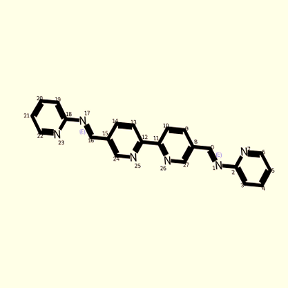 C(=N\c1ccccn1)/c1ccc(-c2ccc(/C=N/c3ccccn3)cn2)nc1